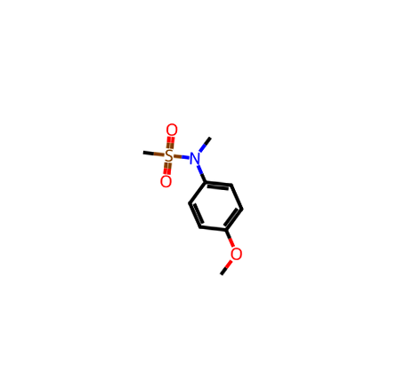 COc1ccc(N(C)S(C)(=O)=O)cc1